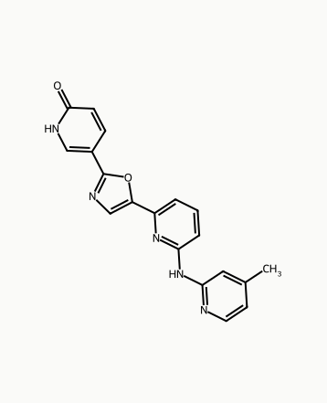 Cc1ccnc(Nc2cccc(-c3cnc(-c4ccc(=O)[nH]c4)o3)n2)c1